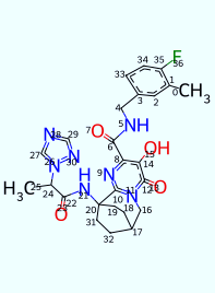 Cc1cc(CNC(=O)c2nc3n(c(=O)c2O)CC2CCC3(NC(=O)C(C)n3cncn3)CC2)ccc1F